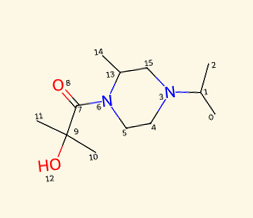 CC(C)N1CCN(C(=O)C(C)(C)O)C(C)C1